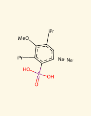 COc1c(C(C)C)ccc(P(=O)(O)O)c1C(C)C.[Na].[Na]